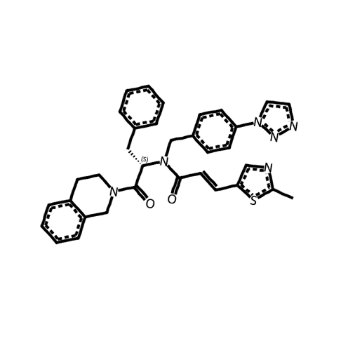 Cc1ncc(C=CC(=O)N(Cc2ccc(-n3ccnn3)cc2)[C@@H](Cc2ccccc2)C(=O)N2CCc3ccccc3C2)s1